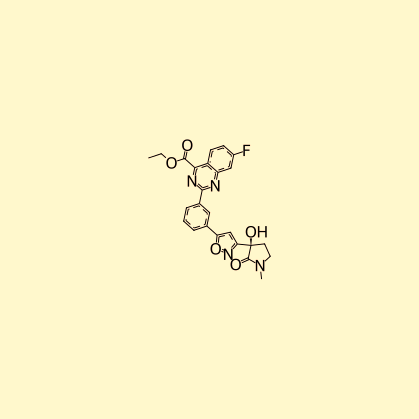 CCOC(=O)c1nc(-c2cccc(-c3cc([C@]4(O)CCN(C)C4=O)no3)c2)nc2cc(F)ccc12